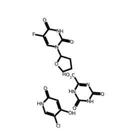 O=C(O)c1nc(=O)[nH]c(=O)[nH]1.O=c1[nH]c(=O)n(C2CCCO2)cc1F.O=c1cc(O)c(Cl)c[nH]1